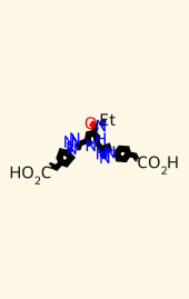 CCNC(=O)c1cc(-c2cn(-c3ccc(CCC(=O)O)cc3)nn2)nc(-c2cn(-c3ccc(CCC(=O)O)cc3)nn2)c1